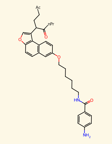 CCCC(=O)C(CCC(C)=O)c1coc2ccc3cc(OCCCCCCNC(=O)c4ccc(N)cc4)ccc3c12